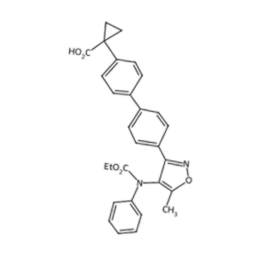 CCOC(=O)N(c1ccccc1)c1c(-c2ccc(-c3ccc(C4(C(=O)O)CC4)cc3)cc2)noc1C